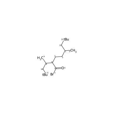 CC(CCC(C(=O)Br)C(C)CC(C)(C)C)CC(C)(C)C